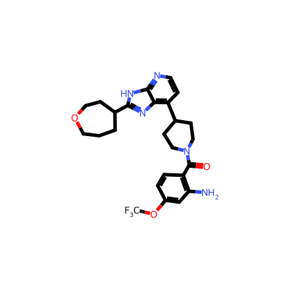 Nc1cc(OC(F)(F)F)ccc1C(=O)N1CCC(c2ccnc3[nH]c(C4CCCOCC4)nc23)CC1